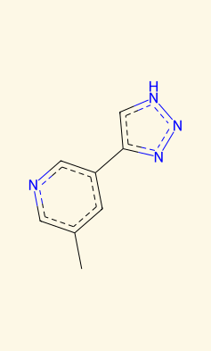 Cc1cncc(-c2c[nH]nn2)c1